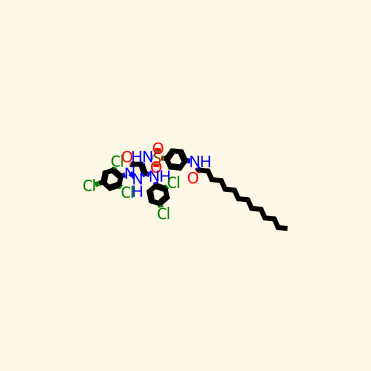 CCCCCCCCCCCCCC(=O)Nc1ccc(S(=O)(=O)Nc2c(Nc3ccc(Cl)cc3Cl)[nH]n(-c3c(Cl)cc(Cl)cc3Cl)c2=O)cc1